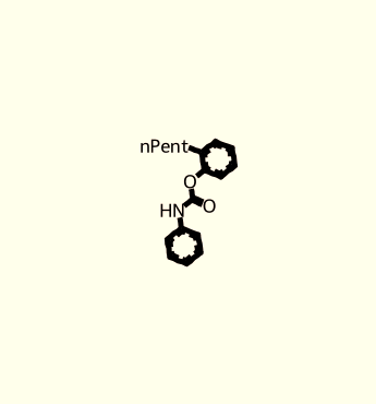 CCCCCc1ccccc1OC(=O)Nc1ccccc1